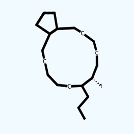 CCCC1CCCCCC2CCCC2CCCCC[C@@H]1I